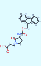 O=C(O)CCN1CC[C@@H](NC(=O)OCC2c3ccccc3-c3ccccc32)C1=O